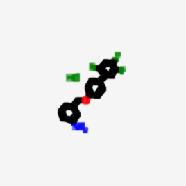 Cl.Nc1cccc(COc2ccc(-c3cc(F)c(F)cc3F)cc2)c1